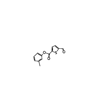 Cc1cccc(OC(=O)c2ccc(C=O)s2)c1